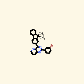 CC1(C)c2ccccc2-c2ccc(-c3nc(-c4cccc(Br)c4)nc4cccnc34)cc21